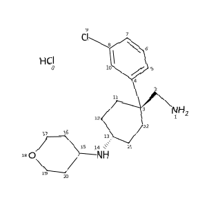 Cl.NC[C@]1(c2cccc(Cl)c2)CC[C@@H](NC2CCOCC2)CC1